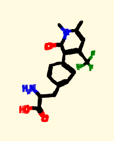 Cc1cc(C(F)(F)F)c(-c2ccc(CC(N)C(=O)O)cc2)c(=O)n1C